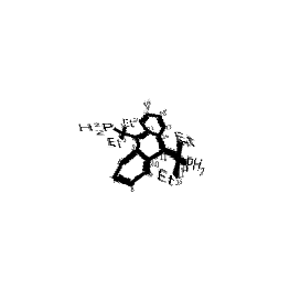 CCC(P)(CC)c1c2ccccc2c(C(P)(CC)CC)c2ccccc12